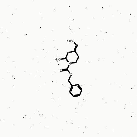 CO/C=C1/CCN(C(=O)OCc2ccccc2)C(C)C1